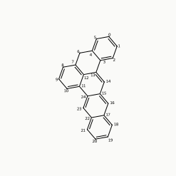 c1ccc2c(c1)Cc1cccc3c1c-2cc1cc2ccccc2cc13